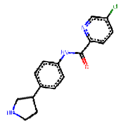 O=C(Nc1ccc(C2CCNC2)cc1)c1ccc(Cl)cn1